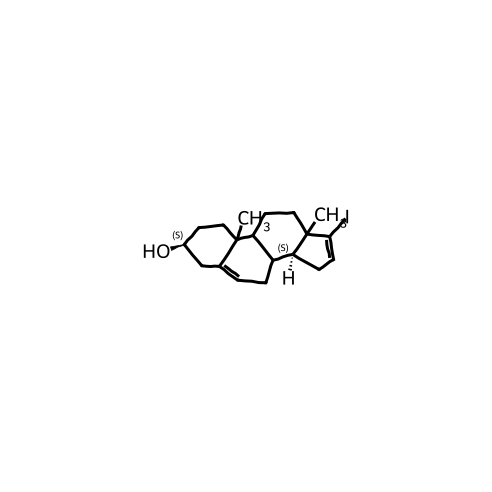 CC12CC[C@H](O)CC1=CCC1C2CCC2(C)C(I)=CC[C@@H]12